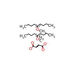 CCC[CH2][Sn+]([CH2]CCC)[O]C.CCC[CH2][Sn+]([CH2]CCC)[O]C.O=C([O-])C=CC(=O)[O-]